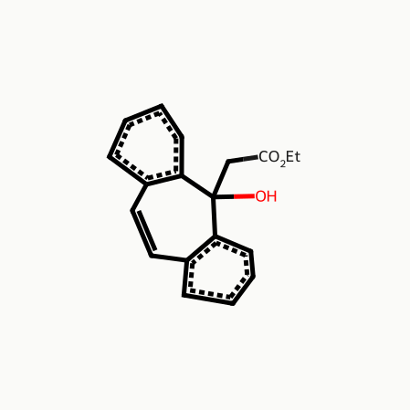 CCOC(=O)CC1(O)c2ccccc2C=Cc2ccccc21